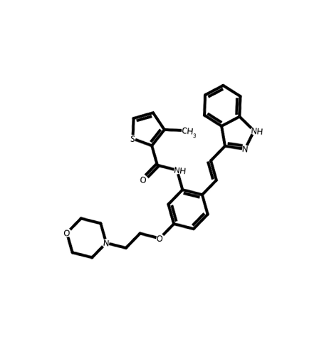 Cc1ccsc1C(=O)Nc1cc(OCCN2CCOCC2)ccc1C=Cc1n[nH]c2ccccc12